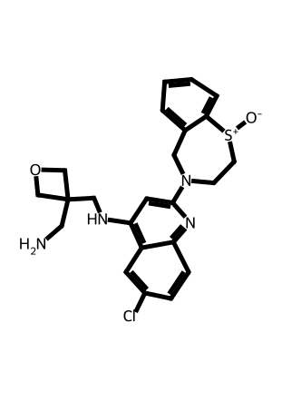 NCC1(CNc2cc(N3CC[S+]([O-])c4ccccc4C3)nc3ccc(Cl)cc23)COC1